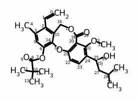 C=Cc1c(C)cc(OC(=O)C(C)(C)C)c2c1COC(=O)c1c(ccc([C@@H](O)CC(C)C)c1OC)O2